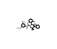 Cc1cc(C)cc(NC(=O)N2CC3(CC3)c3c([nH]c4ccccc34)C2c2c(F)cccc2F)c1